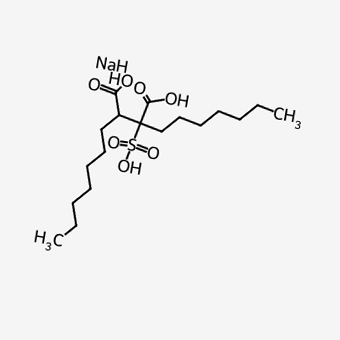 CCCCCCCC(C(=O)O)C(CCCCCCC)(C(=O)O)S(=O)(=O)O.[NaH]